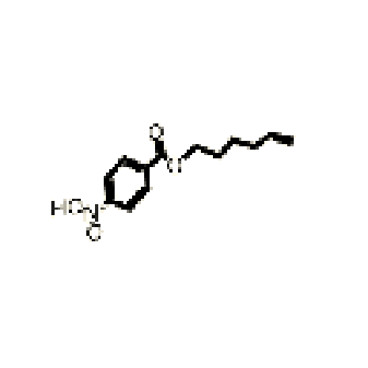 C=CCCCCOC(=O)c1ccc([N+](=O)O)cc1